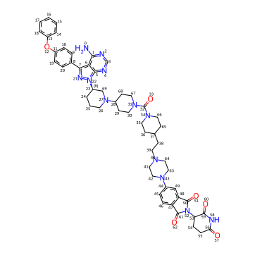 Nc1ncnc2c1c(-c1ccc(Oc3ccccc3)cc1)nn2[C@@H]1CCCN(C2CCN(C(=O)N3CCC(CCN4CCN(c5ccc6c(c5)C(=O)N(C5CCC(=O)NC5=O)C6=O)CC4)CC3)CC2)C1